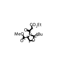 CCOC(=O)CC(=O)N1[C@H](C(=O)OC)CO[C@@H]1C(C)(C)C